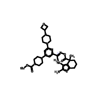 CC(C)(C)OC(=O)N1CCN(c2cc(/C(N)=N/OC(=O)C3(C)CCCc4sc(N)c(C#N)c43)nc(N3CCN(C4COC4)CC3)c2)CC1